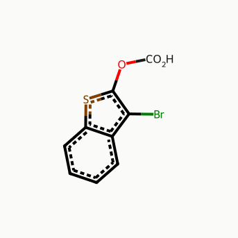 O=C(O)Oc1sc2ccccc2c1Br